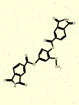 COc1cc(OC(=O)c2ccc3c(c2)C(=O)NC3=O)ccc1OC(=O)c1ccc2c(c1)C(=O)NC2=O